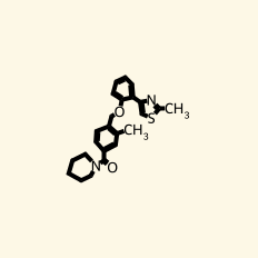 Cc1nc(-c2ccccc2OCc2ccc(C(=O)N3CCCCC3)cc2C)cs1